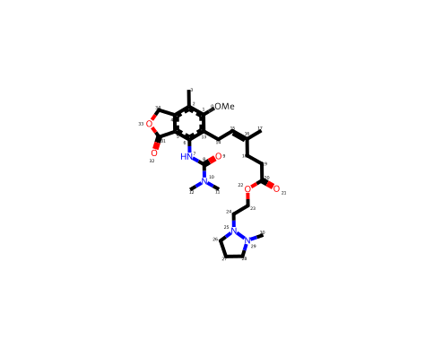 COc1c(C)c2c(c(NC(=O)N(C)C)c1CC=C(C)CCC(=O)OCCN1CCCN1C)C(=O)OC2